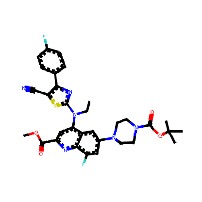 CCN(c1nc(-c2ccc(F)cc2)c(C#N)s1)c1cc(C(=O)OC)nc2c(F)cc(N3CCN(C(=O)OC(C)(C)C)CC3)cc12